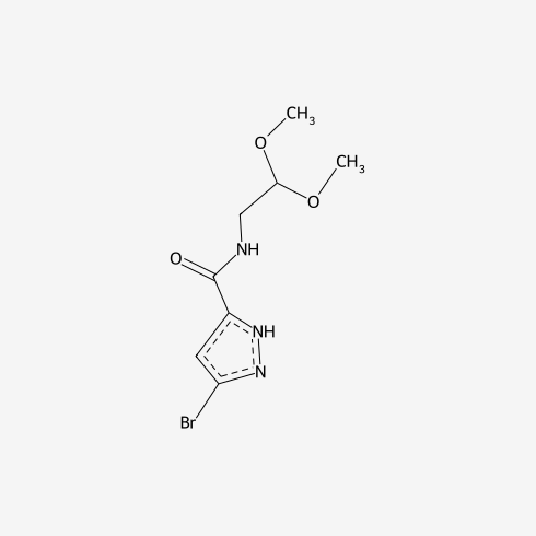 COC(CNC(=O)c1cc(Br)n[nH]1)OC